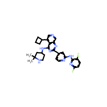 CC1(C)CC(Nc2nc(-c3ccnc(Nc4nc(F)ccc4F)c3)nc3cncc(C4CCC4)c23)CCN1